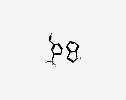 O=Cc1cccc([N+](=O)[O-])c1.c1ccc2[nH]ccc2c1